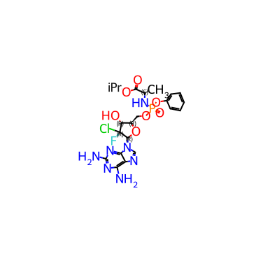 CC(C)OC(=O)[C@H](C)NP(=O)(OC[C@H]1O[C@@H](n2cnc3c(N)nc(N)nc32)[C@](F)(Cl)[C@@H]1O)Oc1ccccc1